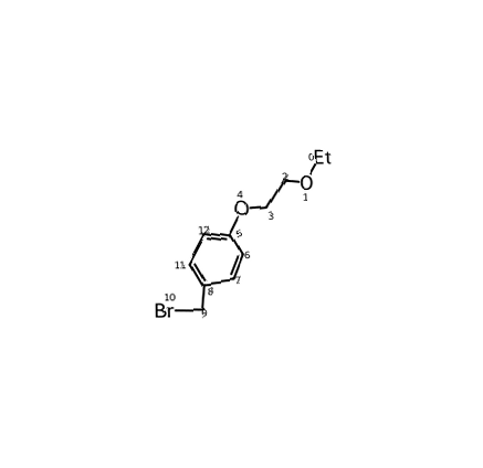 CCOCCOc1ccc(CBr)cc1